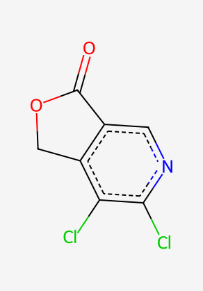 O=C1OCc2c1cnc(Cl)c2Cl